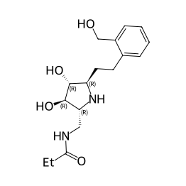 CCC(=O)NC[C@H]1N[C@H](CCc2ccccc2CO)[C@@H](O)[C@@H]1O